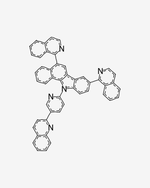 c1ccc2nc(-c3ccc(-n4c5ccc(-c6nccc7ccccc67)cc5c5cc(-c6nccc7ccccc67)c6ccccc6c54)nc3)ccc2c1